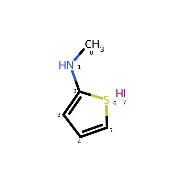 CNc1cccs1.I